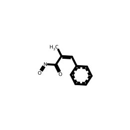 C/C(=C/c1ccccc1)C(=O)N=O